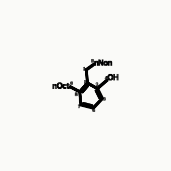 CCCCCCCCCCc1c(O)cccc1CCCCCCCC